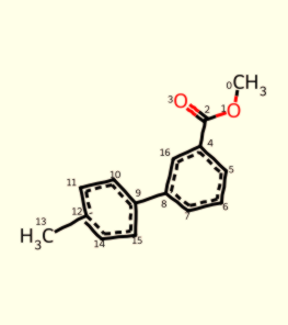 COC(=O)c1cccc(-c2ccc(C)cc2)c1